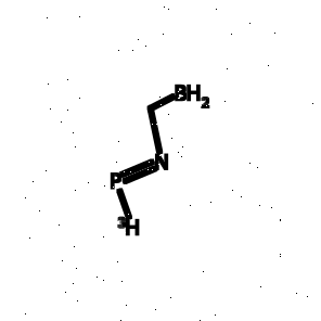 [3H]/P=N/CB